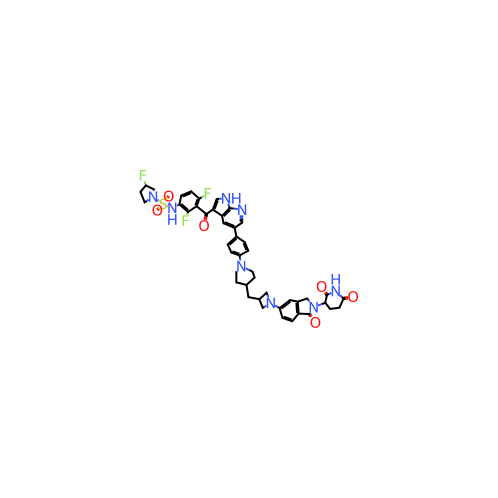 O=C1CCC(N2Cc3cc(N4CC(CC5CCN(c6ccc(-c7cnc8[nH]cc(C(=O)c9c(F)ccc(NS(=O)(=O)N%10CC[C@@H](F)C%10)c9F)c8c7)cc6)CC5)C4)ccc3C2=O)C(=O)N1